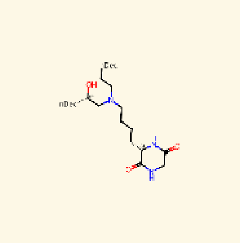 CCCCCCCCCCCCN(CCCC[C@@H]1NC(=O)CNC1=O)C[C@@H](O)CCCCCCCCCC